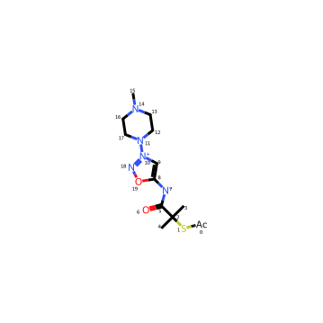 CC(=O)SC(C)(C)C(=O)[N-]c1c[n+](N2CCN(C)CC2)no1